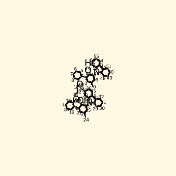 Cc1cc(-c2ccccc2OCCCOc2ccccc2-c2cc(C)cc(-n3c4ccccc4c4ccc(C)cc43)c2O)c(O)c(-n2c3ccccc3c3ccccc32)c1